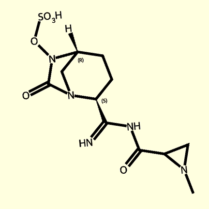 CN1CC1C(=O)NC(=N)[C@@H]1CC[C@@H]2CN1C(=O)N2OS(=O)(=O)O